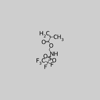 C=C(C)C(=O)OCNS(=O)(=O)C(F)(F)C(F)(F)F